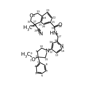 COC1(c2ccccc2)CCN(c2ccnc(CNC(=O)c3ccc4c(c3)[C@](C)(C#N)COC4)c2)C1